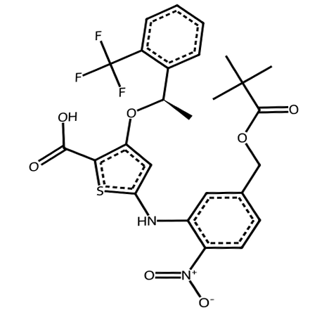 C[C@@H](Oc1cc(Nc2cc(COC(=O)C(C)(C)C)ccc2[N+](=O)[O-])sc1C(=O)O)c1ccccc1C(F)(F)F